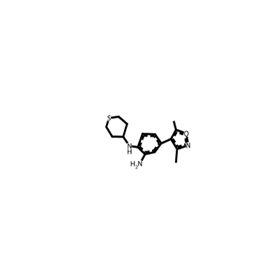 Cc1noc(C)c1-c1ccc(NC2CCSCC2)c(N)c1